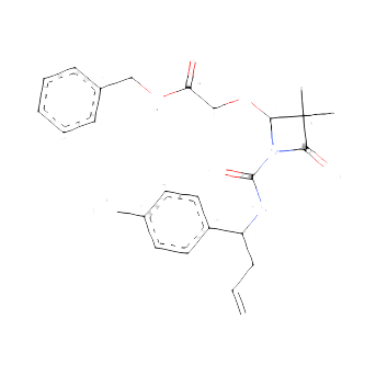 C=CCC(NC(=O)N1C(=O)C(CC)(CC)C1OCC(=O)OCc1ccccc1)c1ccc(C)cc1